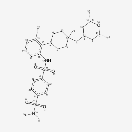 C[C@@H]1CN(CC2(C)CCN(c3c(F)cccc3NS(=O)(=O)c3ccc(S(=O)(=O)N(C)C)cc3)CC2)C[C@H](C)O1